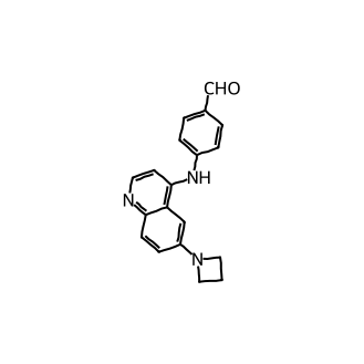 O=Cc1ccc(Nc2ccnc3ccc(N4CCC4)cc23)cc1